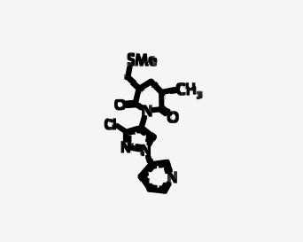 CSCC1CC(C)C(=O)N(c2cn(-c3cccnc3)nc2Cl)C1=O